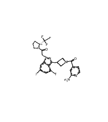 Nc1cc(C(=O)N2CC(c3nn(CC(=O)N4CCC[C@@H]4C(F)(F)F)c4cc(F)cc(F)c34)C2)ccn1